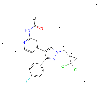 CCC(=O)Nc1cc(-c2cn(CC3CC3(Cl)Cl)nc2-c2ccc(F)cc2)ccn1